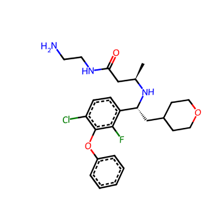 C[C@H](CC(=O)NCCN)N[C@H](CC1CCOCC1)c1ccc(Cl)c(Oc2ccccc2)c1F